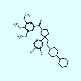 COc1cc(C(=O)N2CCC(CCN3CCC(N4CCCCC4)CC3)(c3ccc(Cl)c(Cl)c3)C2)cc(OC)c1OC